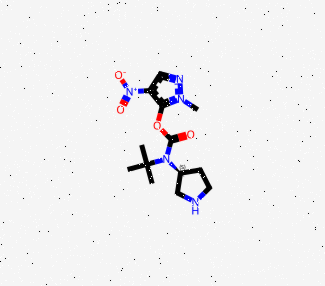 Cn1ncc([N+](=O)[O-])c1OC(=O)N([C@H]1CCNC1)C(C)(C)C